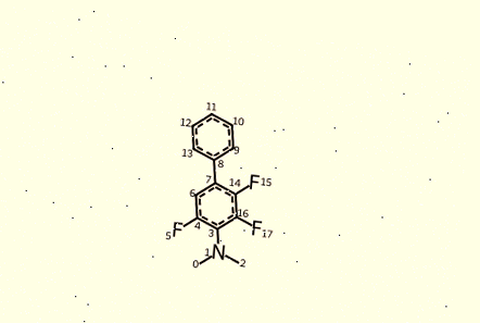 CN(C)c1c(F)cc(-c2ccccc2)c(F)c1F